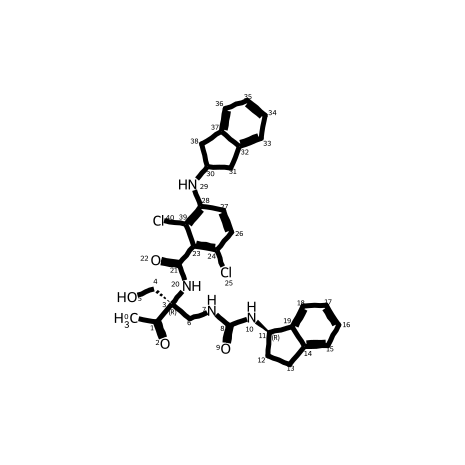 CC(=O)[C@](CO)(CNC(=O)N[C@@H]1CCc2ccccc21)NC(=O)c1c(Cl)ccc(NC2Cc3ccccc3C2)c1Cl